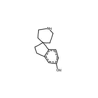 Oc1ccc2c(c1)CCC21CCNCC1